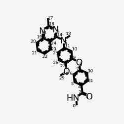 CNC(=O)c1ccc(Oc2cc(N(C)c3nc(C)nc4ccccc34)ccc2OC)cc1